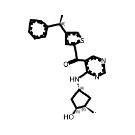 [CH2][C@@H]1C[C@@H](Nc2ncncc2C(=O)c2cc([C@H](C)c3ccccc3)cs2)C[C@@H]1O